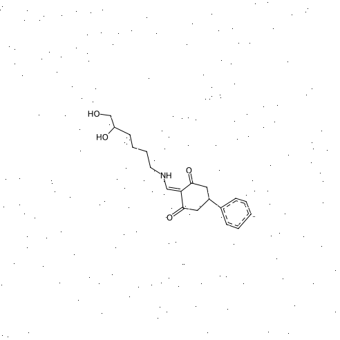 O=C1CC(c2ccccc2)CC(=O)C1=CNCCCCC(O)CO